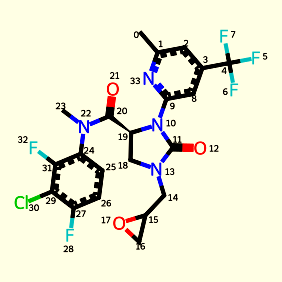 Cc1cc(C(F)(F)F)cc(N2C(=O)N(CC3CO3)C[C@H]2C(=O)N(C)c2ccc(F)c(Cl)c2F)n1